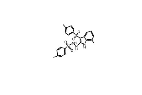 Cc1ccc(S(=O)(=O)NNc2[nH]c3c(C)cccc3c2S(=O)(=O)c2ccc(C)cc2)cc1